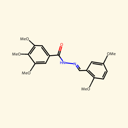 COc1ccc(OC)c(C=NNC(=O)c2cc(OC)c(OC)c(OC)c2)c1